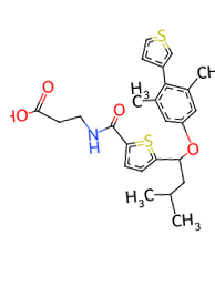 Cc1cc(OC(CC(C)C)c2ccc(C(=O)NCCC(=O)O)s2)cc(C)c1-c1ccsc1